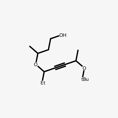 CCC(C#CC(C)OC(C)(C)C)OC(C)CCO